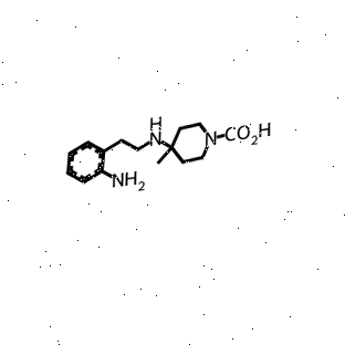 CC1(NCCc2ccccc2N)CCN(C(=O)O)CC1